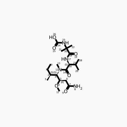 CC[C@H](C)[C@@H]([C@@H](CC(N)=O)OC)N(C)C(=O)[C@@H](NC(=O)C(C)(C)NC(=O)O)C(C)C